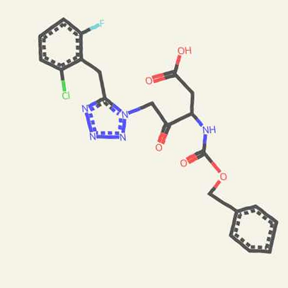 O=C(O)CC(NC(=O)OCc1ccccc1)C(=O)Cn1nnnc1Cc1c(F)cccc1Cl